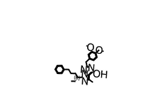 CC[C@H](CCCc1ccccc1)c1nc(C)c2c(O)nc(Cc3ccc(OC)c(OC)c3)nn12